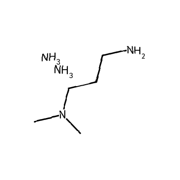 CN(C)CCCN.N.N